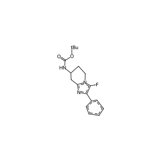 CC(C)(C)OC(=O)NC1CCn2c(nc(-c3ccccc3)c2F)C1